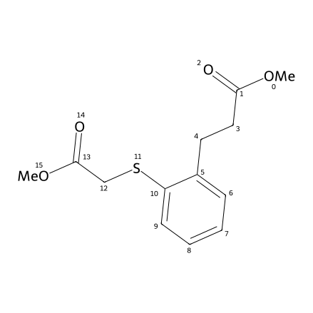 COC(=O)CCc1ccccc1SCC(=O)OC